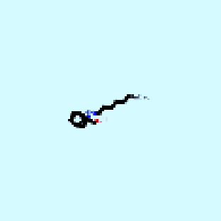 CCCCCCCCCCCCCCCCNC1(CO)CC2C=CC1C2